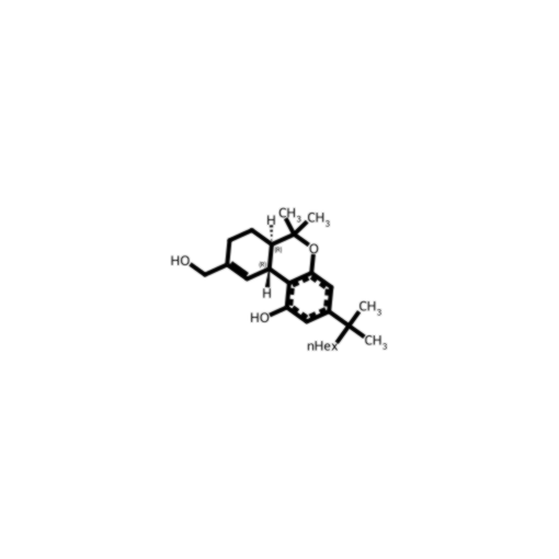 CCCCCCC(C)(C)c1cc(O)c2c(c1)OC(C)(C)[C@@H]1CCC(CO)=C[C@@H]21